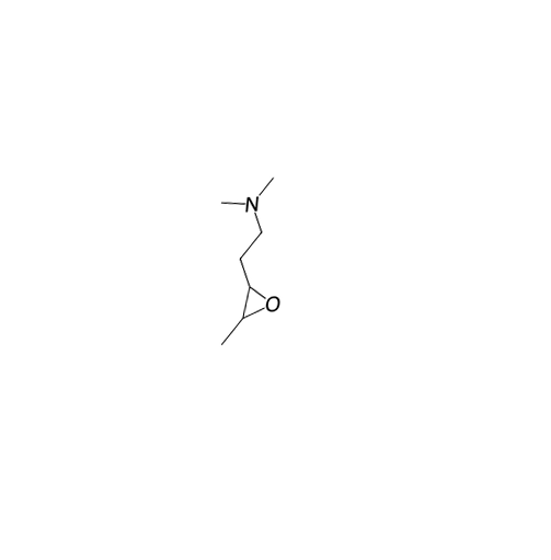 CC1OC1CCN(C)C